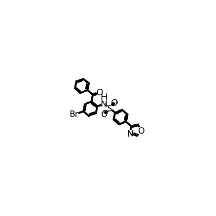 O=C(c1ccccc1)c1cc(Br)ccc1NS(=O)(=O)c1ccc(-c2cocn2)cc1